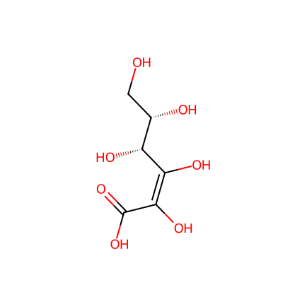 O=C(O)/C(O)=C(/O)[C@H](O)[C@@H](O)CO